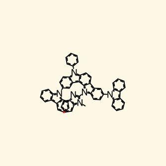 Cn1c(-n2c3ccc(-n4c5ccccc5c5ccccc54)cc3c3ccc4c(c5cc(-n6c7ccccc7c7ccccc76)ccc5n4-c4ccccc4)c32)nc2ccccc21